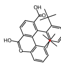 Cc1cccc(C(C)(C)C)c1-c1c(C(=O)O)ccc(C(=O)O)c1-c1c(C)cccc1C(C)(C)C